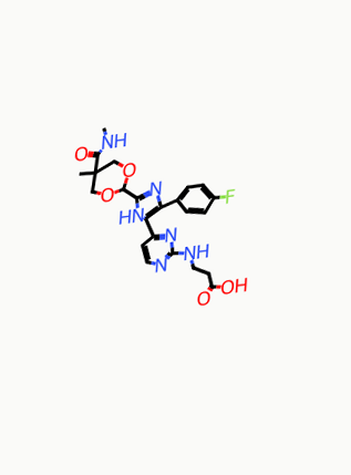 CNC(=O)C1(C)COC(c2nc(-c3ccc(F)cc3)c(-c3ccnc(NCCC(=O)O)n3)[nH]2)OC1